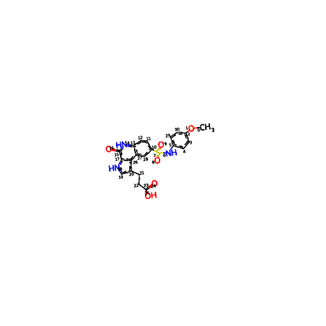 COc1ccc(NS(=O)(=O)c2ccc3[nH]c(=O)c4[nH]cc(CCC(=O)O)c4c3c2)cc1